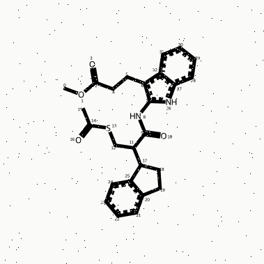 COC(=O)CCc1c(NC(=O)C(CSC(C)=O)C2CCc3ccccc32)[nH]c2ccccc12